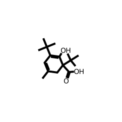 CC1=CC(C(C)(C)C)=C(O)C(C(=O)O)(C(C)(C)C)C1